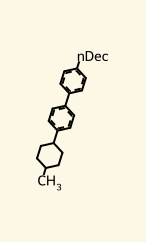 CCCCCCCCCCc1ccc(-c2ccc(C3CCC(C)CC3)cc2)cc1